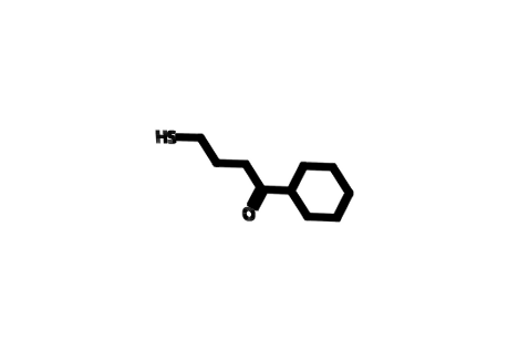 O=C(CCCS)C1CCCCC1